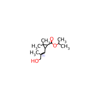 C/C(=C\C1C(C(=O)OC(C)C)C1(C)C)CO